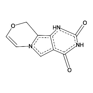 O=c1[nH]c(=O)c2cn3c(c2[nH]1)COC=C3